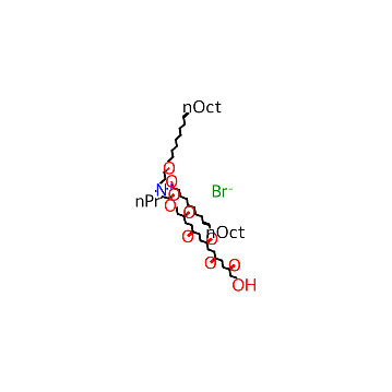 CCCCCCCC/C=C/CCCCCCCCOCC(C[N+](C)(C)C(CCC)C(=O)OCCC(=O)CCC(=O)CCC(=O)CCC(=O)CCC(=O)CCO)OCCCCCCCC/C=C/CCCCCCCC.[Br-]